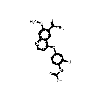 COc1cc2nccc(Oc3ccc(NC(=O)O)c(Cl)c3)c2cc1C(N)=O